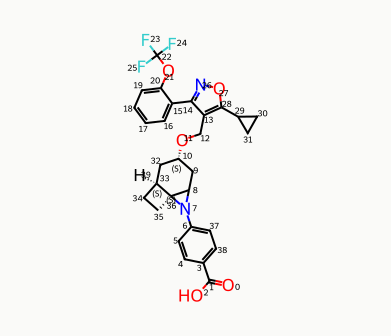 O=C(O)c1ccc(N2C3C[C@@H](OCc4c(-c5ccccc5OC(F)(F)F)noc4C4CC4)C[C@@H]4CC[C@@]342)cc1